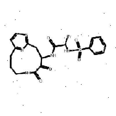 CC(C)C(NS(=O)(=O)c1ccccc1)C(=O)NC1Cc2nccc(n2)CCCNC(=O)C1=O